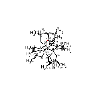 C=CC[Si](CC=C)(CC=C)[Ge]([Si](CC=C)(CC=C)CC=C)([Si](CC=C)(CC=C)CC=C)[Si](CC=C)(CC=C)CC=C